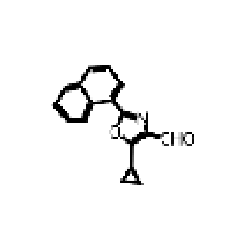 O=Cc1nc(-c2cccc3ccccc23)oc1C1CC1